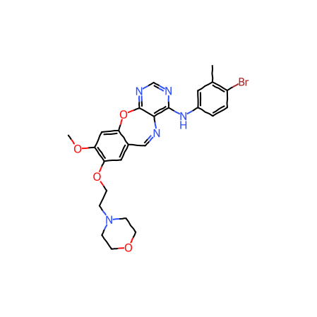 COc1cc2c(cc1OCCN1CCOCC1)C=Nc1c(Nc3ccc(Br)c(C)c3)ncnc1O2